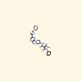 Cc1c(C(=O)NC2CCN(c3nc(-c4csc(N5CCOCC5)n4)cnc3N)CC2)c(=O)n(-c2ccccc2)n1C